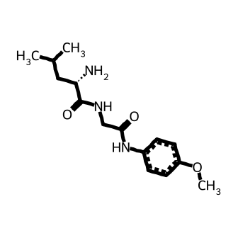 COc1ccc(NC(=O)CNC(=O)[C@@H](N)CC(C)C)cc1